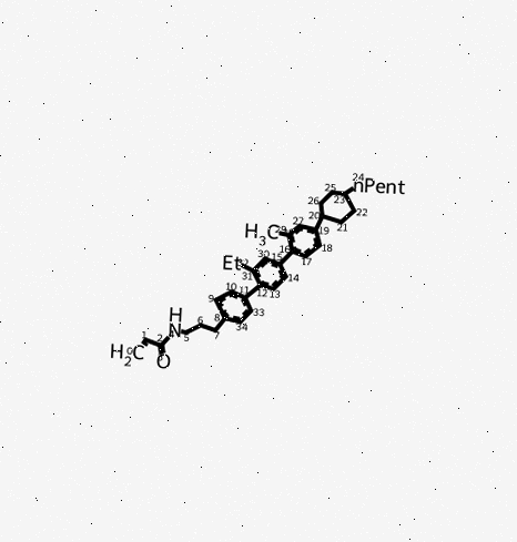 C=CC(=O)NCCCc1ccc(-c2ccc(-c3ccc(C4CCC(CCCCC)CC4)cc3C)cc2CC)cc1